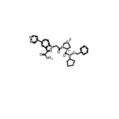 NC(=O)c1nn(CC(=O)N2C[C@H](F)C[C@H]2C(=O)N(OCc2ccccc2)C2CCCC2)c2ccc(-c3ccnnc3)cc12